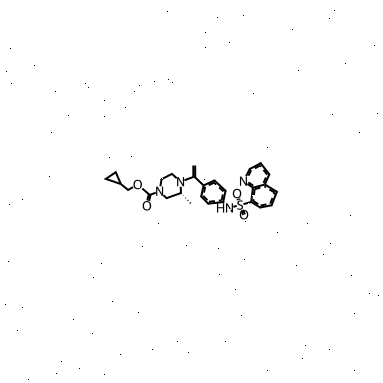 C=C(c1ccc(NS(=O)(=O)c2cccc3cccnc23)cc1)N1CCN(C(=O)OCC2CC2)C[C@H]1C